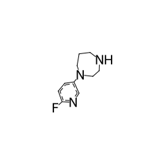 Fc1ccc(N2CCCNCC2)cn1